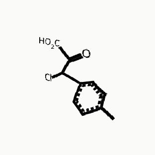 Cc1ccc(C(Cl)C(=O)C(=O)O)cc1